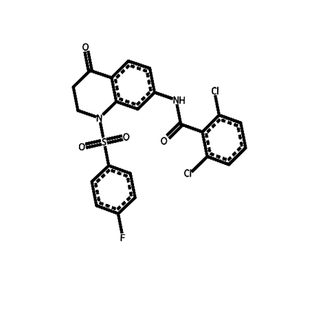 O=C1CCN(S(=O)(=O)c2ccc(F)cc2)c2cc(NC(=O)c3c(Cl)cccc3Cl)ccc21